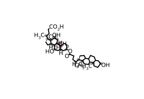 C[C@H](CCC(=O)O)[C@H]1CC[C@H]2[C@@H]3[C@H](O)C[C@@H]4C[C@H](OC(=O)CC[C@@H](C)[C@H]5CCC6C7CCC8C[C@H](O)CC[C@]8(C)C7CC[C@@]65C)CC[C@]4(C)[C@H]3C[C@H](O)[C@]12C